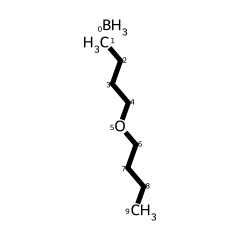 B.CCCCOCCCC